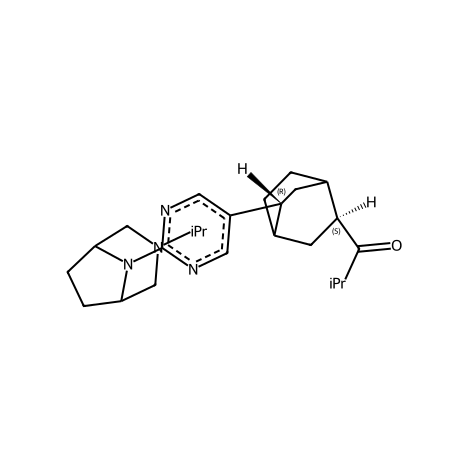 CC(C)C(=O)[C@H]1CC2CCC1C[C@H]2c1cnc(N2C3CCC2CN(C(C)C)C3)nc1